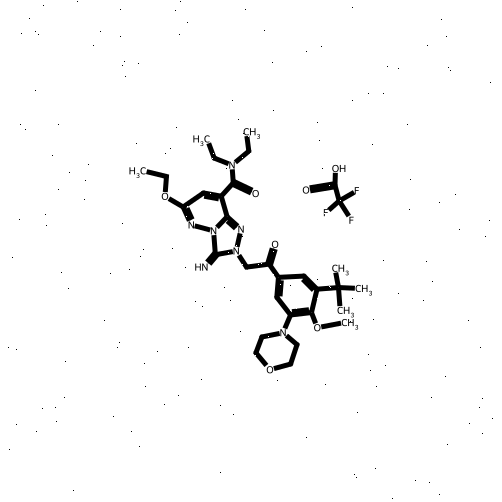 CCOc1cc(C(=O)N(CC)CC)c2nn(CC(=O)c3cc(N4CCOCC4)c(OC)c(C(C)(C)C)c3)c(=N)n2n1.O=C(O)C(F)(F)F